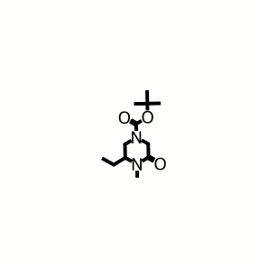 CCC1CN(C(=O)OC(C)(C)C)CC(=O)N1C